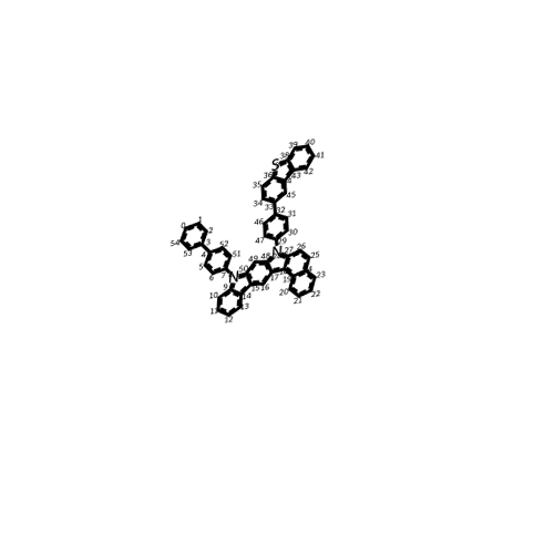 c1ccc(-c2ccc(-n3c4ccccc4c4cc5c6c7ccccc7ccc6n(-c6ccc(-c7ccc8sc9ccccc9c8c7)cc6)c5cc43)cc2)cc1